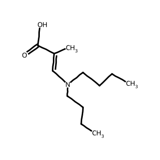 CCCCN(/C=C(\C)C(=O)O)CCCC